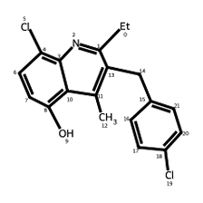 CCc1nc2c(Cl)ccc(O)c2c(C)c1Cc1ccc(Cl)cc1